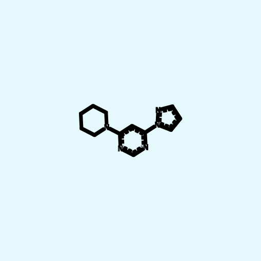 c1cnn(-c2cc(N3CCCCC3)ncn2)c1